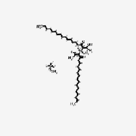 CCCCCCCCCCCCCCCC(=O)C(C(C)O)[N+](C)(C)C(C(=O)CCCCCCCCCCCCCCC)C(C)O.COS(=O)(=O)[O-]